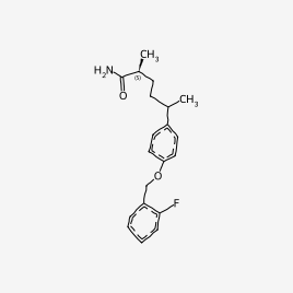 CC(CC[C@H](C)C(N)=O)c1ccc(OCc2ccccc2F)cc1